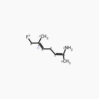 CC(N)=CC/C=C(\C)CF